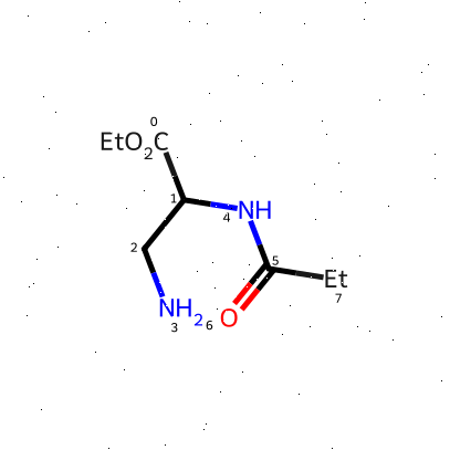 CCOC(=O)C(CN)NC(=O)CC